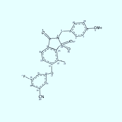 COc1ccc(CN2C(=O)c3ccc(Oc4cc(F)cc(C#N)c4)c(C)c3S2(=O)=O)cc1